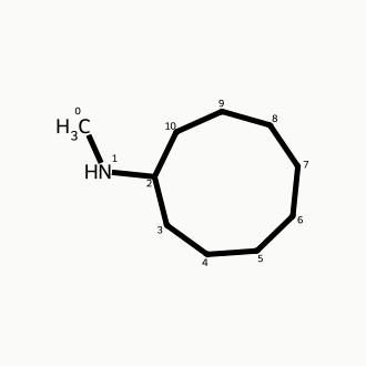 CNC1CCCCCCCC1